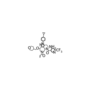 C=CC(=O)N1CC(OCC2CCOCC2)c2nn(-c3ccc(C4CC4)cc3)c3c2C(C1)N(C(=O)c1cnc(C(F)(F)F)cc1N)CC3